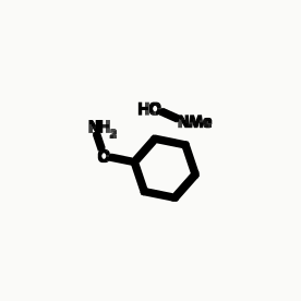 CNO.NOC1CCCCC1